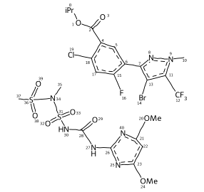 CC(C)OC(=O)c1cc(-c2nn(C)c(C(F)(F)F)c2Br)c(F)cc1Cl.COc1cc(OC)nc(NC(=O)NS(=O)(=O)N(C)S(C)(=O)=O)n1